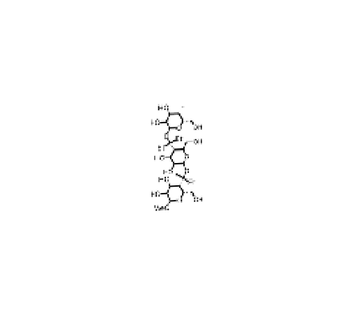 CCC(C)(O[C@@H]1OC(CO)[C@@H](C(CC)(CC)O[C@@H]2O[C@@H](CO)[C@@H](C)C(O)C2O)C(O)[C@@H]1O)[C@H]1C(O)C(O)[C@H](OC)O[C@H]1CO